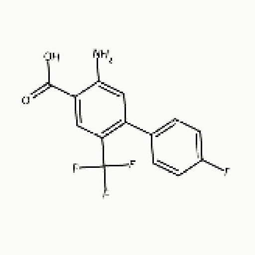 Nc1cc(-c2ccc(F)cc2)c(C(F)(F)F)cc1C(=O)O